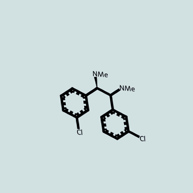 CNC(c1cccc(Cl)c1)[C@H](NC)c1cccc(Cl)c1